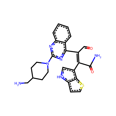 NCC1CCN(c2nc(/C(C=O)=C(/C(N)=O)c3c[nH]c4ccsc34)c3ccccc3n2)CC1